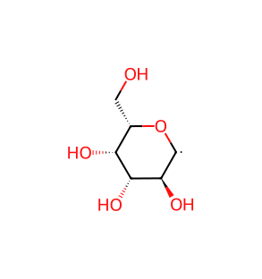 OC[C@@H]1O[CH][C@@H](O)[C@H](O)[C@@H]1O